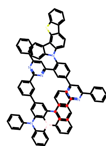 c1ccc(-c2cc(-c3ccc(-n4c5ccccc5c5c6sc7ccccc7c6ccc54)c(-c4cc(-c5ccccc5)nc(-c5cccc(-c6cc7c8c(c6)N(c6ccccc6)c6ccccc6B8c6ccccc6N7c6ccccc6)c5)n4)c3)nc(-c3ccccc3)n2)cc1